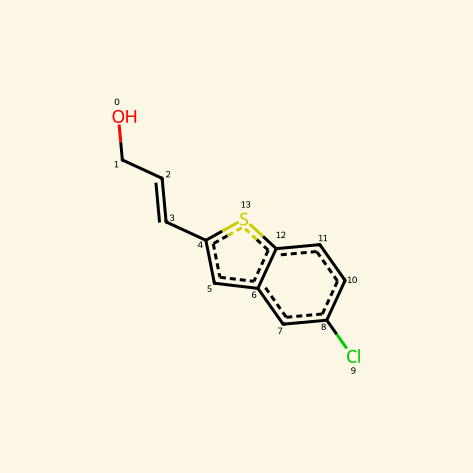 OC/C=C/c1cc2cc(Cl)ccc2s1